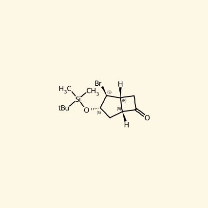 CC(C)(C)[Si](C)(C)O[C@H]1C[C@H]2C(=O)C[C@H]2[C@@H]1Br